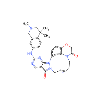 CN1Cc2cc(Nc3ncc4c(=O)n5n(c4n3)-c3ccc4c(c3)N(CC/C=C/C5)C(=O)CO4)ccc2C(C)(C)C1